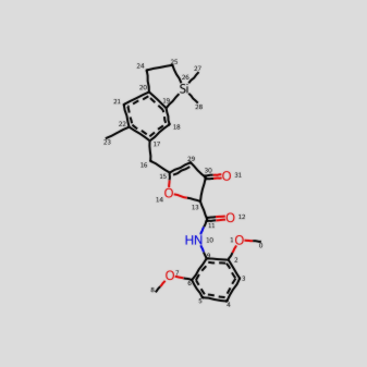 COc1cccc(OC)c1NC(=O)C1OC(Cc2cc3c(cc2C)CC[Si]3(C)C)=CC1=O